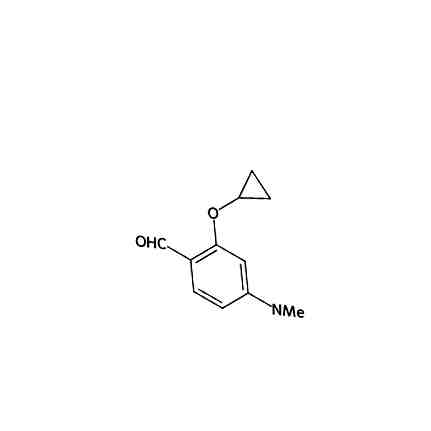 CNc1ccc(C=O)c(OC2CC2)c1